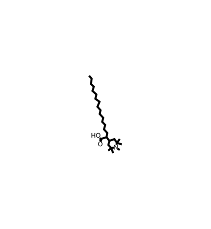 CCCCCCCCCCCCCCCCC(C(=O)O)C1CC(C)(C)N(C)C(C)(C)C1